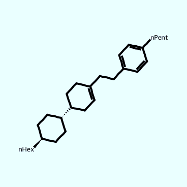 CCCCCC[C@H]1CC[C@H](C2CC=C(CCc3ccc(CCCCC)cc3)CC2)CC1